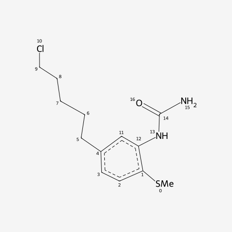 CSc1ccc(CCCCCCl)cc1NC(N)=O